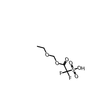 CCOCOC(=O)C(F)(F)S(=O)(=O)O